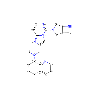 CN(Cc1cn2c(N3CC4CNC4C3)nccc2n1)[C@H]1CCCc2cccnc21